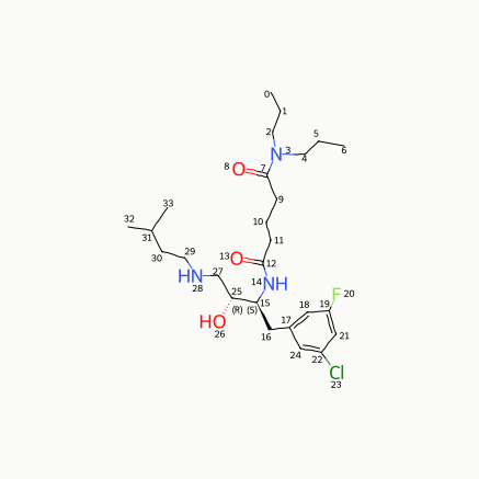 CCCN(CCC)C(=O)CCCC(=O)N[C@@H](Cc1cc(F)cc(Cl)c1)[C@H](O)CNCCC(C)C